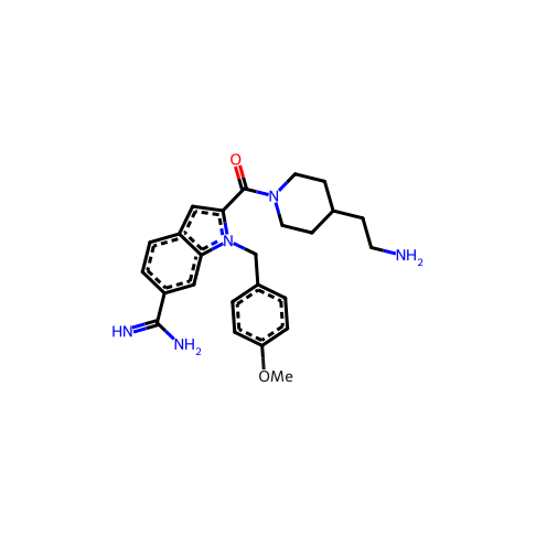 COc1ccc(Cn2c(C(=O)N3CCC(CCN)CC3)cc3ccc(C(=N)N)cc32)cc1